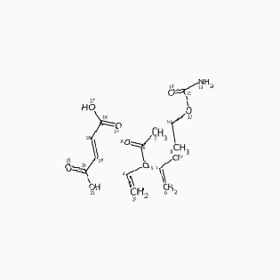 C=CCl.C=COC(C)=O.CCOC(N)=O.O=C(O)C=CC(=O)O